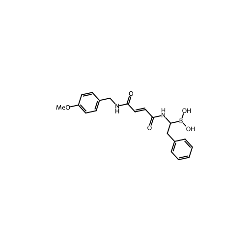 COc1ccc(CNC(=O)C=CC(=O)NC(Cc2ccccc2)B(O)O)cc1